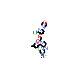 CC(=O)N1CCn2c(nc3c2C(c2ncc(C)cc2F)N(C(=O)COc2ccc(N4CCOCC4)nc2Cl)CC3)C1